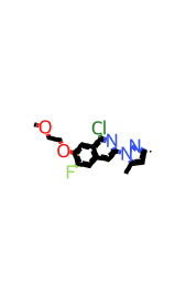 COCCOc1cc2c(Cl)nc(-n3n[c]cc3C)cc2cc1F